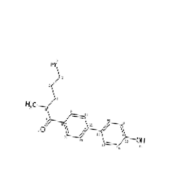 CC(C)CCCC(C)C(=O)c1ccc(-c2ccc(O)cc2)cc1